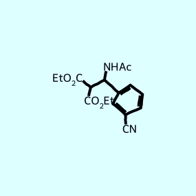 CCOC(=O)C(C(=O)OCC)C(NC(C)=O)c1cccc(C#N)c1